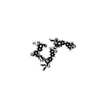 CCCN(CCC)C(=O)C1=Cc2ccc(-c3ccc(C=O)c(/C=C(/C)N(C)CCSNC4=Nc5cc(-c6ccc(CC(C)C)c(/C=C(/C)NC=O)c6)ccc5C=C(C(=O)N(CCC)CCC)C4)c3)cc2N=C(NOCCN(C)/C(C)=C\c2cc(-c3ccc4c(c3)N=C(N)CC(C=O)=C4)ccc2C=O)C1